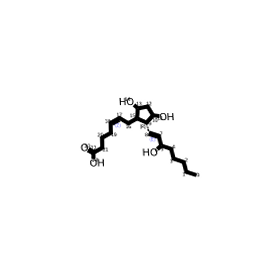 CCCCCC(O)/C=C/[C@H]1C(O)CC(O)C1C/C=C\CCCC(=O)O